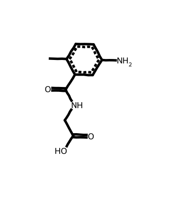 Cc1ccc(N)cc1C(=O)NCC(=O)O